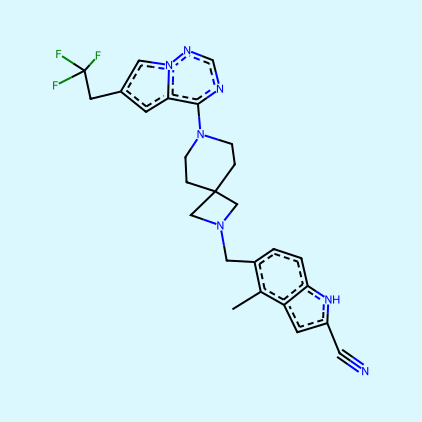 Cc1c(CN2CC3(CCN(c4ncnn5cc(CC(F)(F)F)cc45)CC3)C2)ccc2[nH]c(C#N)cc12